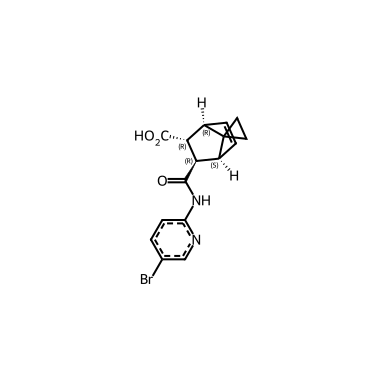 O=C(O)[C@H]1[C@H](C(=O)Nc2ccc(Br)cn2)[C@@H]2C=C[C@H]1C21CC1